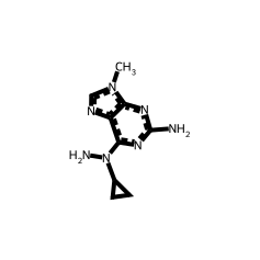 Cn1cnc2c(N(N)C3CC3)nc(N)nc21